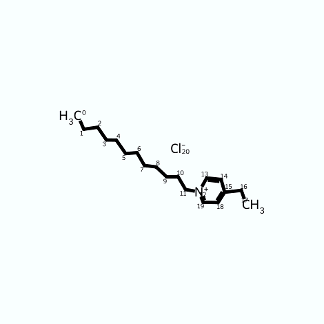 CCCCCCCCCCCC[n+]1ccc(CC)cc1.[Cl-]